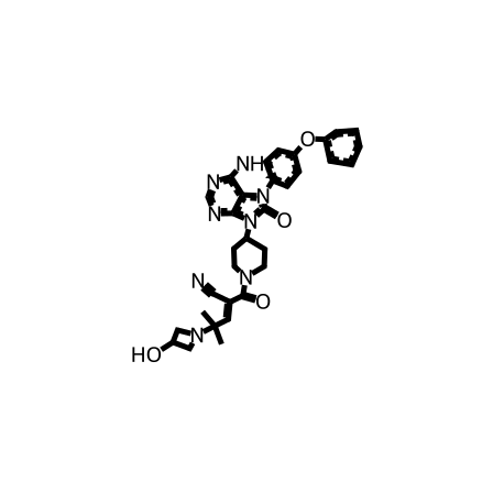 CC(C)(C=C(C#N)C(=O)N1CCC(n2c(=O)n(-c3ccc(Oc4ccccc4)cc3)c3c(N)ncnc32)CC1)N1CC(O)C1